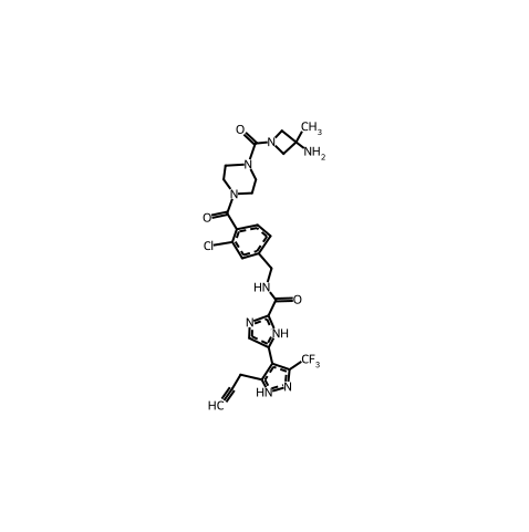 C#CCc1[nH]nc(C(F)(F)F)c1-c1cnc(C(=O)NCc2ccc(C(=O)N3CCN(C(=O)N4CC(C)(N)C4)CC3)c(Cl)c2)[nH]1